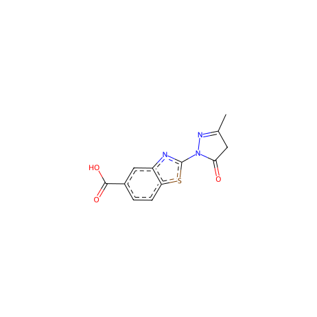 CC1=NN(c2nc3cc(C(=O)O)ccc3s2)C(=O)C1